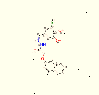 O=C(COc1ccc2ccccc2c1)N/N=C\c1cc(O)c(O)c(Br)c1